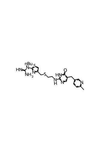 CCCCN(C(=N)N)c1nc(CSCCNc2ncc(Cc3ccc(C)nc3)c(=O)[nH]2)cs1